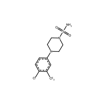 NS(=O)(=O)N1CCN(c2ccc(Cl)c(C(F)(F)F)c2)CC1